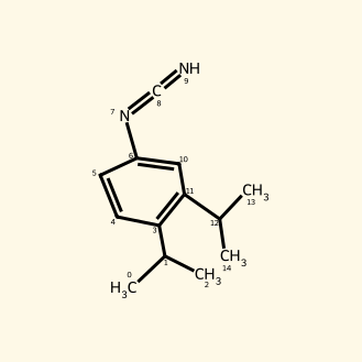 CC(C)c1ccc(N=C=N)cc1C(C)C